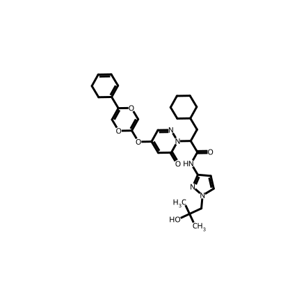 CC(C)(O)Cn1ccc(NC(=O)C(CC2CCCCC2)n2ncc(OC3=COC(C4=CC=CCC4)=CO3)cc2=O)n1